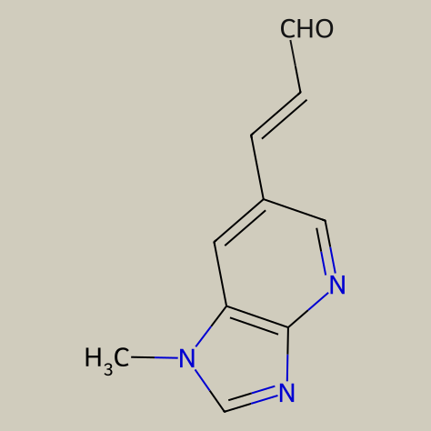 Cn1cnc2ncc(/C=C/C=O)cc21